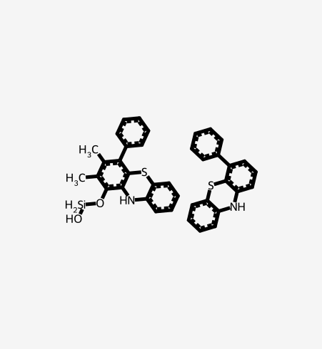 Cc1c(C)c(-c2ccccc2)c2c(c1O[SiH2]O)Nc1ccccc1S2.c1ccc(-c2cccc3c2Sc2ccccc2N3)cc1